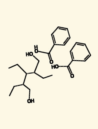 CCC(CO)C(CC)C(CC)CO.O=C(O)c1ccccc1.O=C(O)c1ccccc1